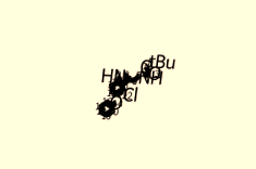 CC(C)(C)OC(=O)NCCc1c[nH]c2ccc(Oc3ccccc3)c(Cl)c12